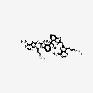 CCCCn1c(Sc2nc3cccc(C(O)(CO)c4cccc5nc(Sc6nc7c(N)ncnc7n6CCCC)sc45)c3s2)nc2c(N)ncnc21